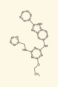 CCOc1nc(NCc2ccco2)nc(Nc2ccc3[nH]c(-c4cccnc4)nc3c2)n1